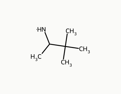 CC([NH])C(C)(C)C